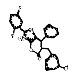 O=C1Oc2[nH]c(-c3cc(F)ccc3F)nc2C(c2ccccc2)C1Cc1cccc(Cl)c1